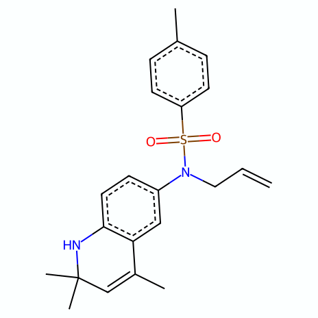 C=CCN(c1ccc2c(c1)C(C)=CC(C)(C)N2)S(=O)(=O)c1ccc(C)cc1